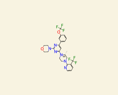 C[C@@H]1CN(c2ncccc2C(F)(F)F)CCN1c1cc(-c2cccc(OC(F)(F)F)c2)nc(N2CCOCC2)n1